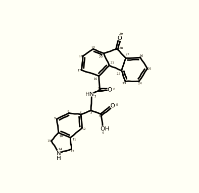 O=C(NC(C(=O)O)c1ccc2c(c1)CNC2)c1cccc2c1-c1ccccc1C2=O